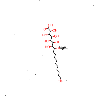 O=C(O)C(O)C(O)C(O)C(O)C(O)C(O)C(O)CCCCCCCCCCO.[MgH2]